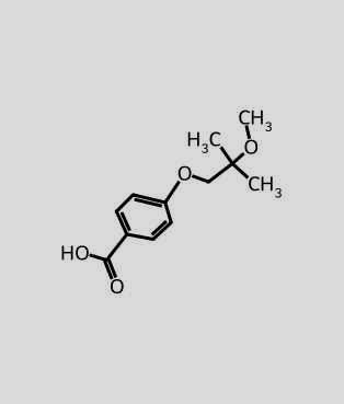 COC(C)(C)COc1ccc(C(=O)O)cc1